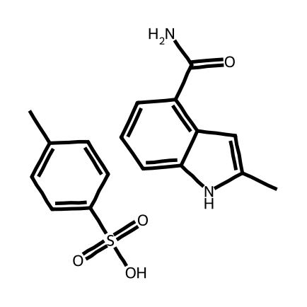 Cc1cc2c(C(N)=O)cccc2[nH]1.Cc1ccc(S(=O)(=O)O)cc1